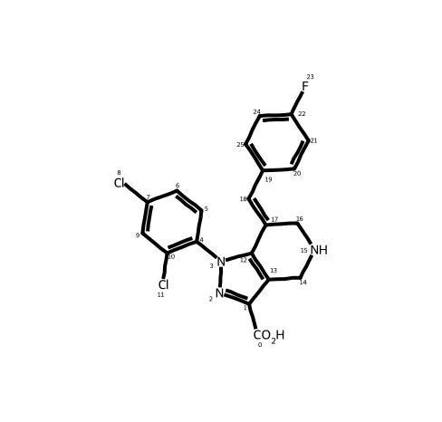 O=C(O)c1nn(-c2ccc(Cl)cc2Cl)c2c1CNCC2=Cc1ccc(F)cc1